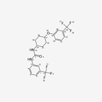 O=C(Nc1cccc(C(F)(F)F)c1)NC1CCC(Oc2cccc(C(F)(F)F)c2)CC1